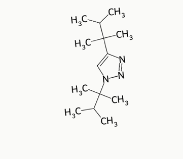 CC(C)C(C)(C)c1cn(C(C)(C)C(C)C)nn1